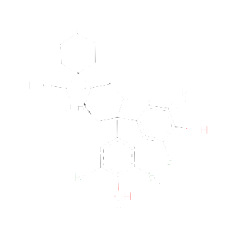 CC(C)C1(C2CCC(c3cc(Br)c(O)c(Br)c3)(c3cc(Br)c(O)c(Br)c3)CC2)CCCCC1